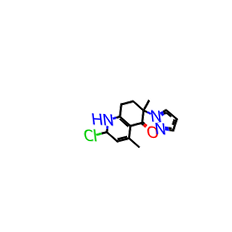 CC1=CC(Cl)NC2=C1C(=O)C(C)(n1cccn1)CC2